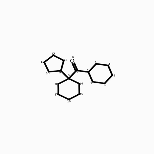 O=C(C1CCCCC1)C1(C2CCCC2)CCCCC1